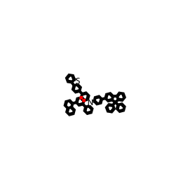 c1ccc(C2(c3ccccc3)c3ccccc3-c3ccc(-c4ccc(N(c5ccc(-c6ccc7c(c6)sc6ccccc67)cc5)c5ccccc5-c5cccc(-c6cccc7ccccc67)c5)cc4)cc32)cc1